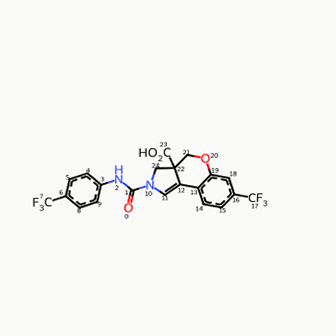 O=C(Nc1ccc(C(F)(F)F)cc1)N1C=C2c3ccc(C(F)(F)F)cc3OCC2(C(=O)O)C1